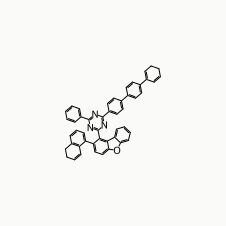 C1=CC(c2ccc(-c3ccc(-c4nc(-c5ccccc5)nc(-c5c(-c6cccc7c6C=CCC7)ccc6oc7ccccc7c56)n4)cc3)cc2)=CCC1